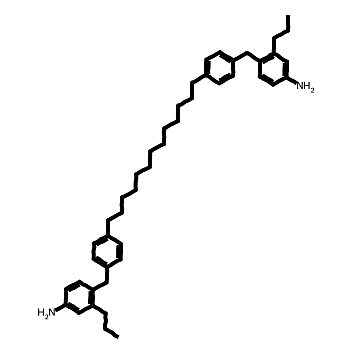 CCCc1cc(N)ccc1Cc1ccc(CCCCCCCCCCCCCc2ccc(Cc3ccc(N)cc3CCC)cc2)cc1